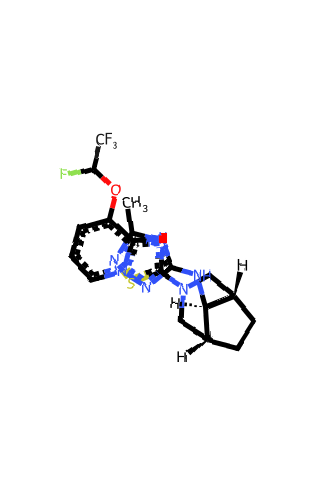 Cc1nsc(N2C[C@H]3CC[C@@H](C2)[C@@H]3Nc2nc3c(OC(F)C(F)(F)F)cccn3n2)n1